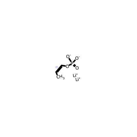 C/C=C\OP(=O)([O-])[O-].[Li+].[Li+]